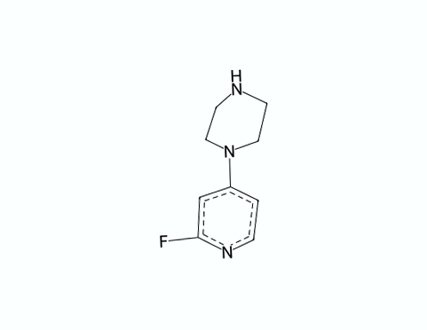 Fc1cc(N2CCNCC2)ccn1